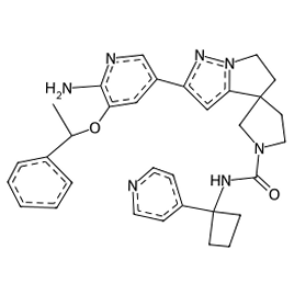 CC(Oc1cc(-c2cc3n(n2)CCC32CCN(C(=O)NC3(c4ccncc4)CCC3)C2)cnc1N)c1ccccc1